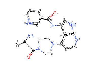 CC(C)C(N)C(=O)N1CCN(c2ccnc3[nH]cc(NC(=O)c4cccnc4)c23)CC1